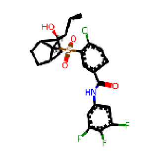 C=CC[C@]1(O)CC2CCC1[C@@H]2S(=O)(=O)c1cc(C(=O)Nc2cc(F)c(F)c(F)c2)ccc1Cl